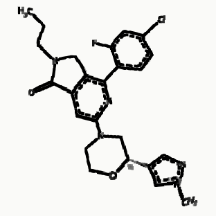 CCCN1Cc2c(cc(N3CCO[C@@H](c4cnn(C)c4)C3)nc2-c2ccc(Cl)cc2F)C1=O